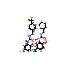 O=C(NCC1CCCCC1)Nc1cc(Cl)ccc1O.O=C(NCc1ccc(C(F)(F)F)cc1)Nc1cc(Cl)ccc1O